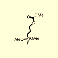 COC(=O)OCCC[Si](F)(OC)OC